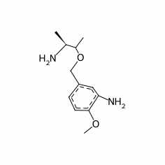 COc1ccc(COC(C)[C@H](C)N)cc1N